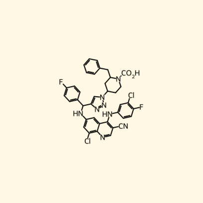 N#Cc1cnc2c(Cl)cc(NC(c3ccc(F)cc3)c3cn(C4CCN(C(=O)O)C(Cc5ccccc5)C4)nn3)cc2c1Nc1ccc(F)c(Cl)c1